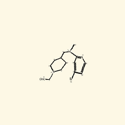 CN(CC1CCN(CC=O)CC1)c1cc(Br)ccn1